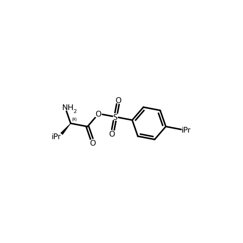 CC(C)c1ccc(S(=O)(=O)OC(=O)[C@H](N)C(C)C)cc1